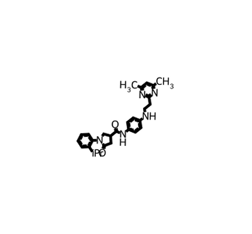 Cc1cc(C)nc(CCNc2ccc(NC(=O)C3CC(=O)N(c4ccccc4C(C)C)C3)cc2)n1